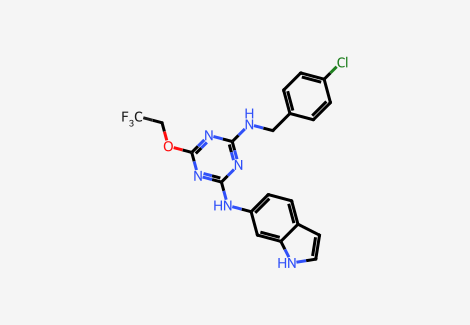 FC(F)(F)COc1nc(NCc2ccc(Cl)cc2)nc(Nc2ccc3cc[nH]c3c2)n1